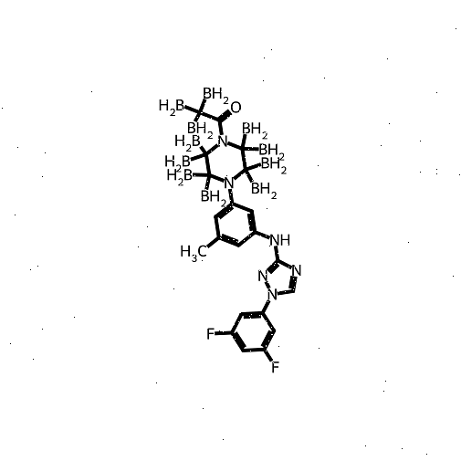 BC(B)(B)C(=O)N1C(B)(B)C(B)(B)N(c2cc(C)cc(Nc3ncn(-c4cc(F)cc(F)c4)n3)c2)C(B)(B)C1(B)B